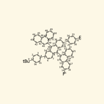 CC(C)(C)c1ccc(-c2ccc3c(-c4cc5cc(F)ccc5c5ccccc45)c4cc(-c5ccc(F)cc5)ccc4c(-c4cc5ccccc5c5ccccc45)c3c2)cc1